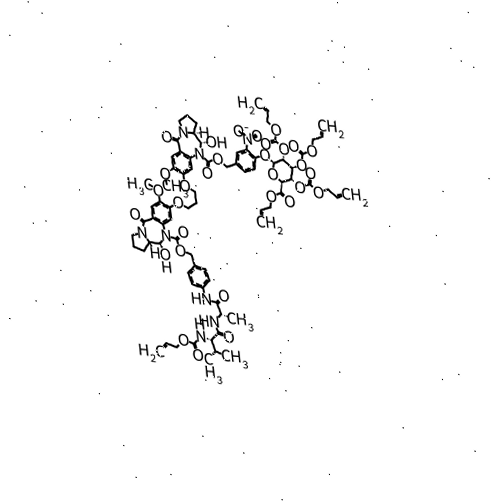 C=CCOC(=O)N[C@H](C(=O)N[C@@H](C)C(=O)Nc1ccc(COC(=O)N2c3cc(OCCCOc4cc5c(cc4OC)C(=O)N4CCC[C@H]4[C@H](O)N5C(=O)OCc4ccc(O[C@@H]5O[C@H](C(=O)OCC=C)[C@@H](OC(=O)OCC=C)[C@H](OC(=O)OCC=C)[C@H]5OC(=O)OCC=C)c([N+](=O)[O-])c4)c(OC)cc3C(=O)N3CCC[C@H]3[C@@H]2O)cc1)C(C)C